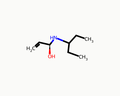 C=C[C@H](O)NC(CC)CC